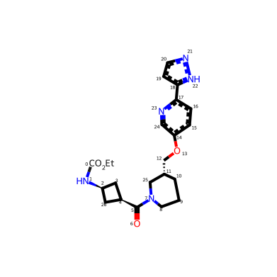 CCOC(=O)N[C@H]1C[C@@H](C(=O)N2CCC[C@@H](COc3ccc(-c4ccn[nH]4)nc3)C2)C1